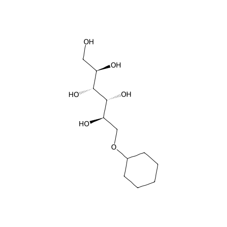 OC[C@@H](O)[C@@H](O)[C@H](O)[C@H](O)COC1CCCCC1